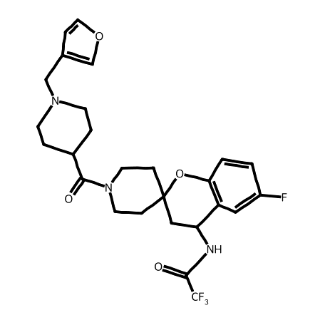 O=C(C1CCN(Cc2ccoc2)CC1)N1CCC2(CC1)CC(NC(=O)C(F)(F)F)c1cc(F)ccc1O2